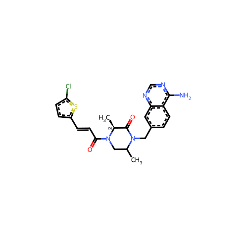 CC1CN(C(=O)C=Cc2ccc(Cl)s2)[C@@H](C)C(=O)N1Cc1ccc2c(N)ncnc2c1